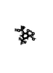 COc1c([N+](=O)[O-])cc(C(F)(F)F)cc1[NH+]([O-])O